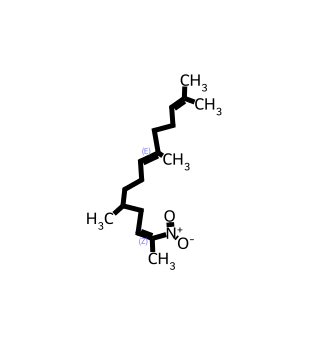 CC(C)=CCC/C(C)=C/CCC(C)C/C=C(/C)[N+](=O)[O-]